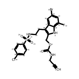 C#CCNC(=O)OCc1[nH]c2c(F)cc(Br)cc2c1CCNS(=O)(=O)c1ccc(Cl)cc1